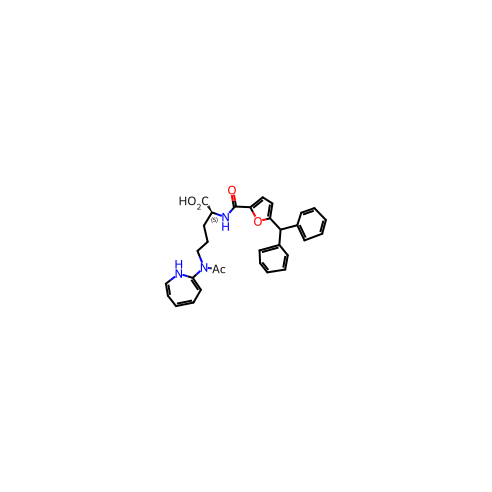 CC(=O)N(CCC[C@H](NC(=O)c1ccc(C(c2ccccc2)c2ccccc2)o1)C(=O)O)C1=CC=CC=CN1